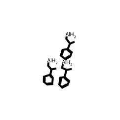 CC([CH2][AlH2])c1ccccc1.CC([CH2][AlH2])c1ccccc1.CC([CH2][AlH2])c1ccccc1